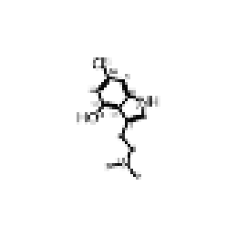 CN(C)CCc1c[nH]c2cc(Cl)cc(O)c12